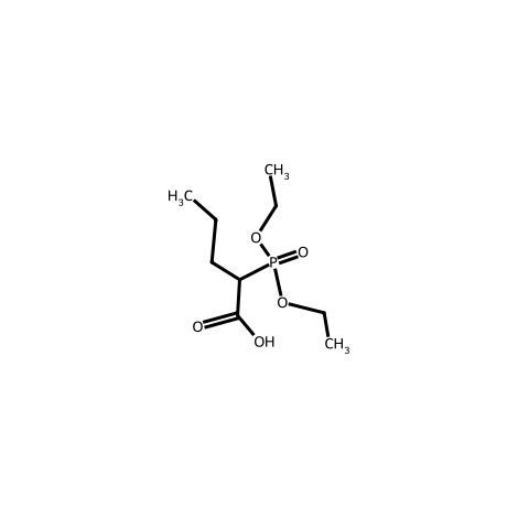 CCCC(C(=O)O)P(=O)(OCC)OCC